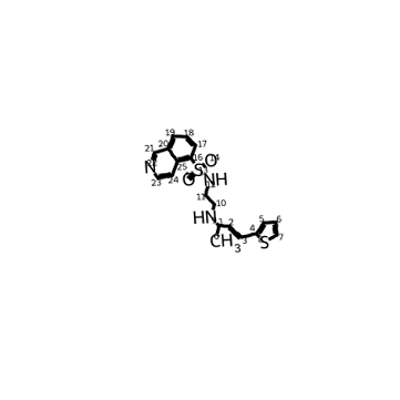 CC(/C=C/c1cccs1)NCCNS(=O)(=O)c1cccc2cnccc12